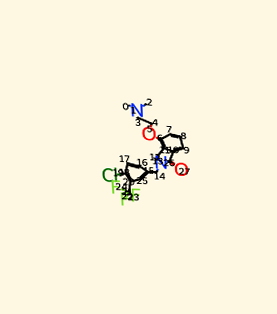 CN(C)CCOc1cccc2c1CN(Cc1ccc(Cl)c(C(F)(F)F)c1)C2=O